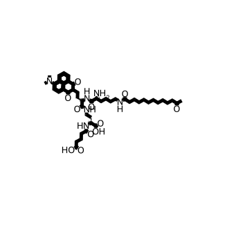 CC(=O)CCCCCCCCCCC(=O)NCCCC[C@H](N)C(=O)N[C@H](CCC1C(=O)c2cccc3c(N(C)C)ccc(c23)C1=O)C(=O)NCC[C@@H](NC(=O)CCCC(=O)O)C(=O)O